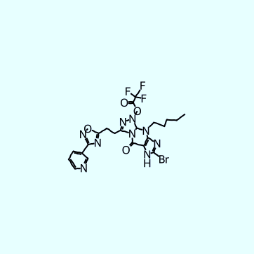 CCCCCN1c2nc(Br)[nH]c2C(=O)N2C(CCc3nc(-c4cccnc4)no3)=NN(OC(=O)C(F)(F)F)C21